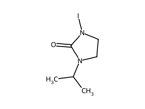 CC(C)N1CCN(I)C1=O